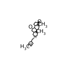 CN1CCC(CC[C@H]2CC[C@@]3(C)C(CC(=O)C4C3CC[C@]3(C)C(=O)CCC43)C2)C1